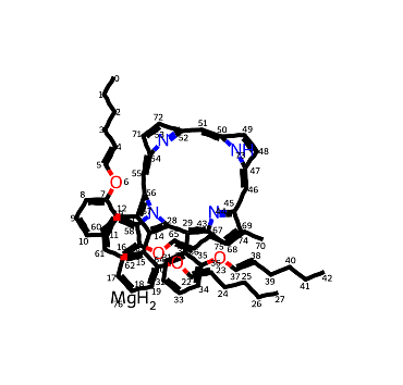 CCCCC=COc1ccccc1-c1c(-c2ccccc2OC=CCCCC)c2c(-c3ccccc3OC=CCCCC)c3nc(cc4ccc(cc5nc(cc1n2-c1ccccc1OC=CCCCC)C=C5)[nH]4)C=C3.[MgH2]